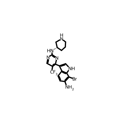 Nc1ccc2c(-c3nc(N[C@H]4CCCNC4)ncc3C(F)(F)F)c[nH]c2c1Br